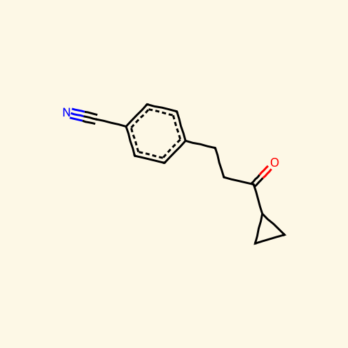 N#Cc1ccc(CCC(=O)C2CC2)cc1